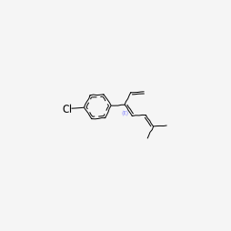 C=C/C(=C\C=C(C)C)c1ccc(Cl)cc1